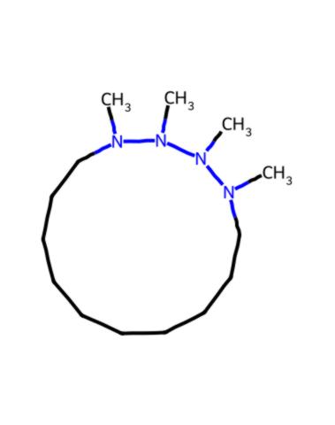 CN1CCCCCCCCCCN(C)N(C)N1C